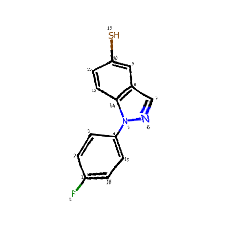 Fc1ccc(-n2ncc3cc(S)ccc32)cc1